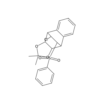 CC1(C)OC2C(O1)C1c3ccccc3C2C(Cl)C1S(=O)(=O)c1ccccc1